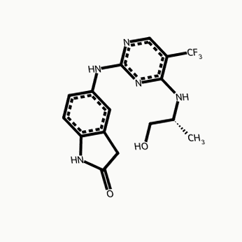 C[C@H](CO)Nc1nc(Nc2ccc3c(c2)CC(=O)N3)ncc1C(F)(F)F